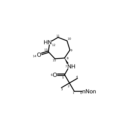 CCCCCCCCCCC(C)(C)C(=O)N[C@@H]1CCCNC(=O)C1